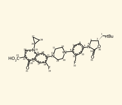 CC(C)(C)C[C@H]1CN(c2ccc(N3CCN(c4cc5c(cc4F)c(=O)c(C(=O)O)cn5C4CC4)CC3)c(F)c2)C(=O)O1